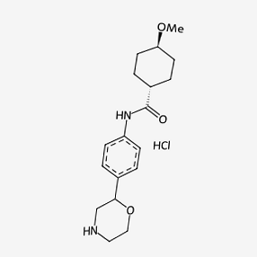 CO[C@H]1CC[C@H](C(=O)Nc2ccc(C3CNCCO3)cc2)CC1.Cl